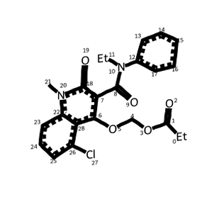 CCC(=O)OCOc1c(C(=O)N(CC)c2ccccc2)c(=O)n(C)c2cccc(Cl)c12